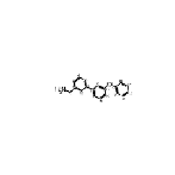 NCc1cccc(-c2cc[c]c(Oc3ccccc3)c2)c1